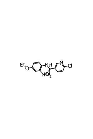 CCOc1ccc(NC(=O)c2ccc(Cl)nc2)c([N+](=O)[O-])c1